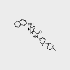 CN1CCN(c2ccc(NC(=O)c3nnc(Nc4ccc5ccccc5c4)o3)cn2)CC1